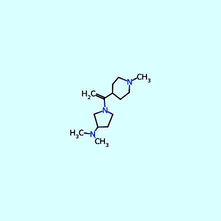 C=C(C1CCN(C)CC1)N1CCC(N(C)C)C1